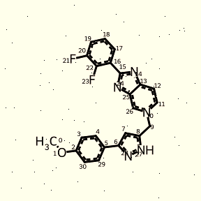 COc1ccc(-c2cc(Cn3ccc4nc(-c5cccc(F)c5F)nc-4c3)[nH]n2)cc1